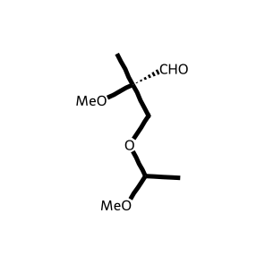 COC(C)OC[C@@](C)(C=O)OC